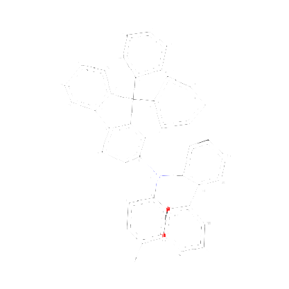 Cc1ccc(N(c2ccc3c(c2)C(c2ccccc2)(c2ccccc2)c2ccccc2-3)c2ccccc2-c2ccccc2)cc1